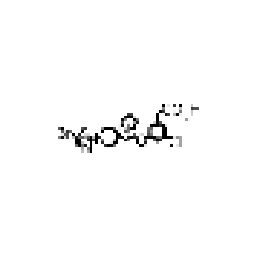 O=C(O)Cc1cc(Cl)cc(OCCC2(N3CCCC3)CCN(c3ncc(Br)s3)CC2)c1